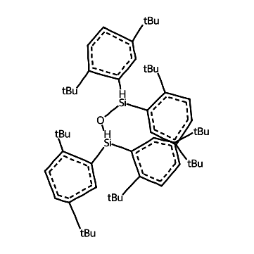 CC(C)(C)c1ccc(C(C)(C)C)c([SiH](O[SiH](c2cc(C(C)(C)C)ccc2C(C)(C)C)c2cc(C(C)(C)C)ccc2C(C)(C)C)c2cc(C(C)(C)C)ccc2C(C)(C)C)c1